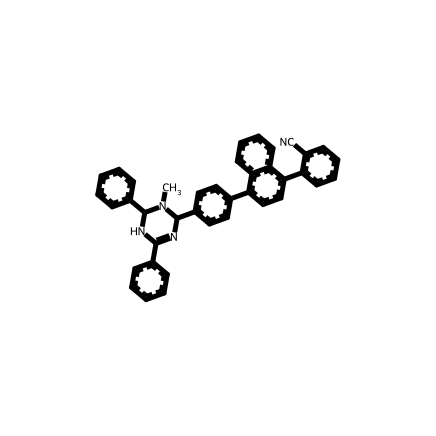 CN1C(c2ccc(-c3ccc(-c4ccccc4C#N)c4ccccc34)cc2)N=C(c2ccccc2)NC1c1ccccc1